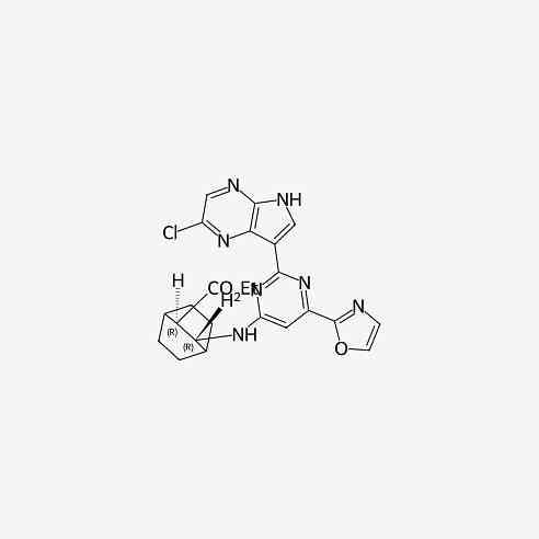 CCOC(=O)[C@@H]1C2CCC(CC2)[C@H]1Nc1cc(-c2ncco2)nc(-c2c[nH]c3ncc(Cl)nc23)n1